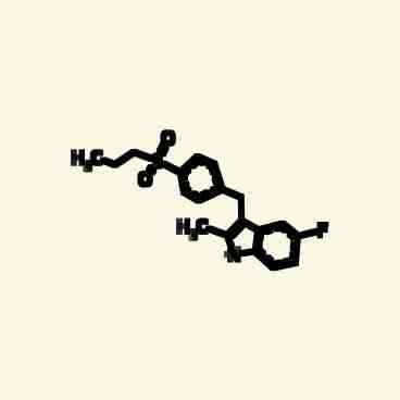 CCCS(=O)(=O)c1ccc(CC2=C(C)[N]c3ccc(F)cc32)cc1